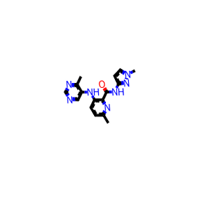 Cc1ccc(Nc2cncnc2C)c(C(=O)Nc2ccn(C)n2)n1